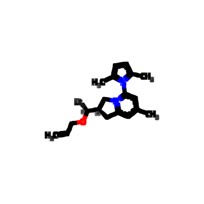 C=CCO[C@@H](CC)[C@@H]1Cc2cc(C)cc(-n3c(C)ccc3C)[n+]2C1